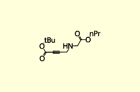 CCCOC(=O)CNCC#CC(=O)OC(C)(C)C